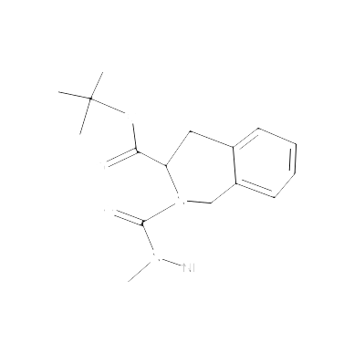 CN(N)C(=O)N1Cc2ccccc2CC1C(=O)OC(C)(C)C